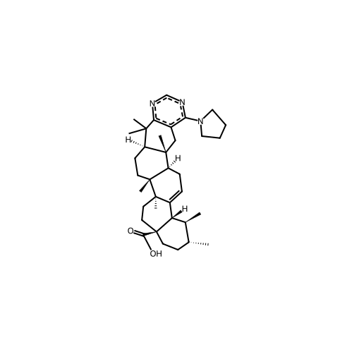 C[C@H]1[C@H](C)CC[C@]2(C(=O)O)CC[C@]3(C)C(=CC[C@@H]4[C@@]5(C)Cc6c(N7CCCC7)ncnc6C(C)(C)[C@@H]5CC[C@]43C)[C@H]12